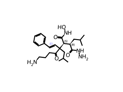 CC(C)C[C@@H](C(=O)NN)[C@H](C(=O)NO)C(/C=C/c1ccccc1)(CC(C)C)C(=O)CCCN